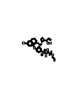 C=CCOC(C)(C)C(=O)NS(=O)(=O)c1ccc2c(c1)N(C[C@@H]1CC[C@H]1[C@@H](O)C=C)C[C@@]1(CCCc3cc(Cl)ccc31)CO2